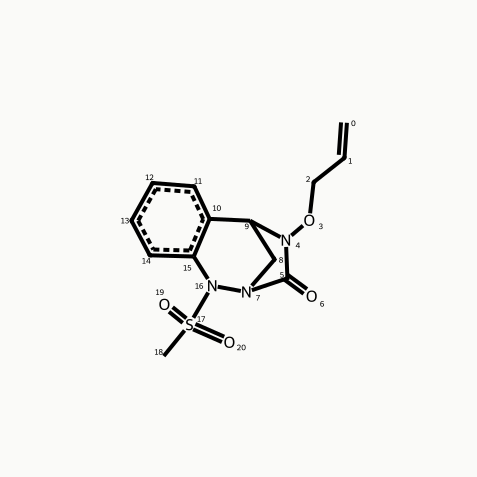 C=CCON1C(=O)N2CC1c1ccccc1N2S(C)(=O)=O